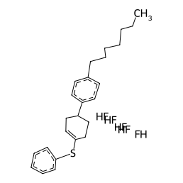 CCCCCCCc1ccc(C2CC=C(Sc3ccccc3)CC2)cc1.F.F.F.F.F